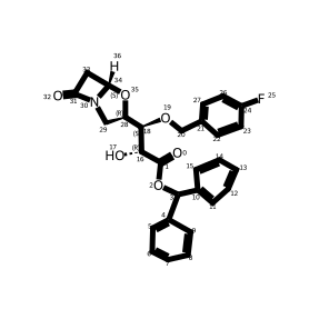 O=C(OC(c1ccccc1)c1ccccc1)[C@H](O)[C@H](OCc1ccc(F)cc1)[C@H]1CN2C(=O)C[C@@H]2O1